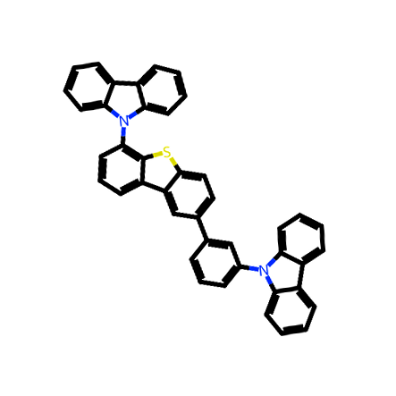 c1cc(-c2ccc3sc4c(-n5c6ccccc6c6ccccc65)cccc4c3c2)cc(-n2c3ccccc3c3ccccc32)c1